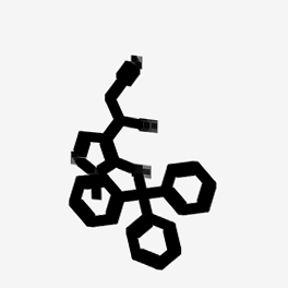 Cn1ncc(C(O)CC#N)c1NC(c1ccccc1)(c1ccccc1)c1ccccc1